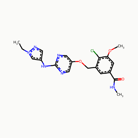 CCn1cc(Nc2ncc(OCc3cc(C(=O)NC)cc(OC)c3Cl)cn2)cn1